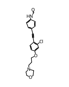 O=CNc1ccc(C#Cc2ccc(OCCCN3CCOCC3)cc2Cl)cc1